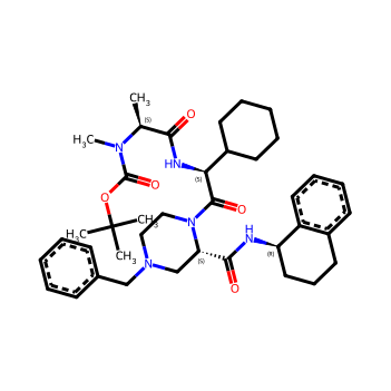 C[C@@H](C(=O)N[C@H](C(=O)N1CCN(Cc2ccccc2)C[C@H]1C(=O)N[C@@H]1CCCc2ccccc21)C1CCCCC1)N(C)C(=O)OC(C)(C)C